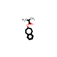 CC(C)C(=O)OC1CCc2ccccc2CC1